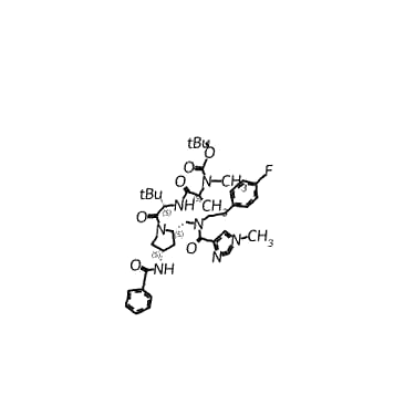 C[C@@H](C(=O)N[C@H](C(=O)N1C[C@@H](NC(=O)c2ccccc2)C[C@H]1CN(CCc1ccc(F)cc1)C(=O)c1cn(C)cn1)C(C)(C)C)N(C)C(=O)OC(C)(C)C